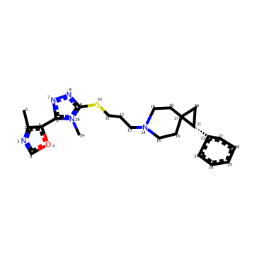 Cc1ncoc1-c1nnc(SCCCN2CCC3(CC2)C[C@@H]3c2ccccc2)n1C